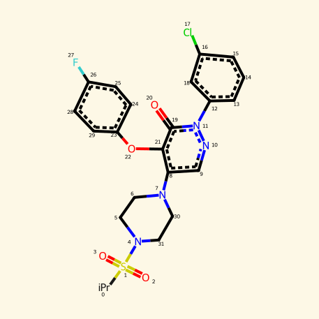 CC(C)S(=O)(=O)N1CCN(c2cnn(-c3cccc(Cl)c3)c(=O)c2Oc2ccc(F)cc2)CC1